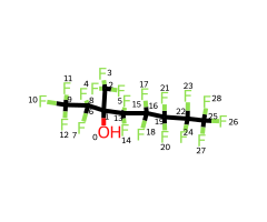 OC(C(F)(F)F)(C(F)(F)C(F)(F)F)C(F)(F)C(F)(F)C(F)(F)C(F)(F)C(F)(F)F